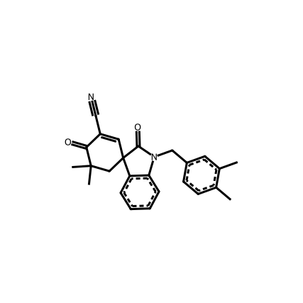 Cc1ccc(CN2C(=O)C3(C=C(C#N)C(=O)C(C)(C)C3)c3ccccc32)cc1C